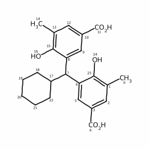 Cc1cc(C(=O)O)cc(C(c2cc(C(=O)O)cc(C)c2O)C2CCCCC2)c1O